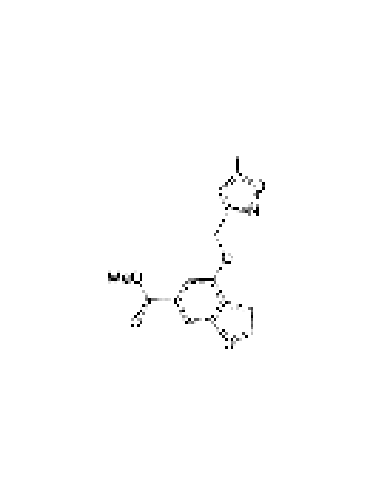 COC(=O)c1cc(OCc2cc(C)on2)c2ccoc2c1